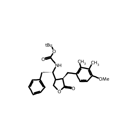 COc1ccc(C[C@H]2C(=O)OCC2[C@H](Cc2ccccc2)NC(=O)OC(C)(C)C)c(C)c1C